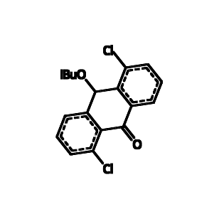 CC(C)COC1c2cccc(Cl)c2C(=O)c2cccc(Cl)c21